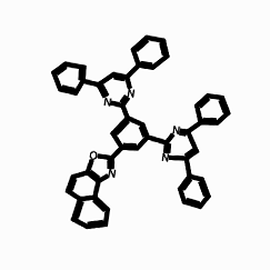 c1ccc(-c2cc(-c3ccccc3)nc(-c3cc(-c4nc(-c5ccccc5)cc(-c5ccccc5)n4)cc(-c4nc5c(ccc6ccccc65)o4)c3)n2)cc1